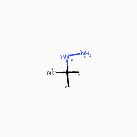 CC(C)(C#N)NN